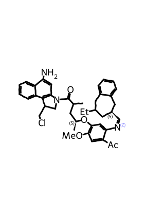 CCC1Cc2ccccc2C[C@@H](/C=N\c2cc(O[C@@H](C)CC(C)C(=O)N3CC(CCl)c4c3cc(N)c3ccccc43)c(OC)cc2C(C)=O)C1